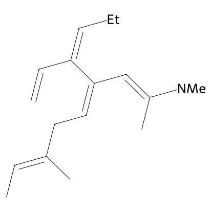 C=CC(=C/CC)/C(=C\C/C(C)=C/C)/C=C(\C)NC